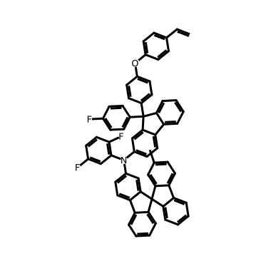 C=Cc1ccc(Oc2ccc(C3(c4ccc(F)cc4)c4ccccc4-c4ccc(N(c5ccc6c(c5)C5(c7ccccc7-c7ccc(C)cc75)c5ccccc5-6)c5cc(F)ccc5F)cc43)cc2)cc1